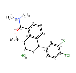 CN[C@H]1CC[C@@H](c2ccc(Cl)c(Cl)c2)c2cccc(C(=O)N(C)C)c21.Cl